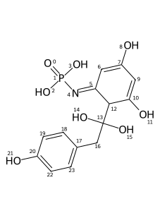 O=P(O)(O)/N=C1\C=C(O)C=C(O)C1C(O)(O)Cc1ccc(O)cc1